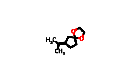 CC(C)=C1CCC2(C1)OCCO2